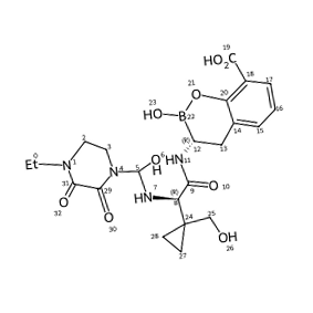 CCN1CCN(C(O)N[C@@H](C(=O)N[C@H]2Cc3cccc(C(=O)O)c3OB2O)C2(CO)CC2)C(=O)C1=O